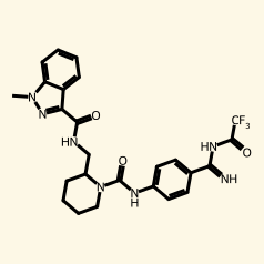 Cn1nc(C(=O)NCC2CCCCN2C(=O)Nc2ccc(C(=N)NC(=O)C(F)(F)F)cc2)c2ccccc21